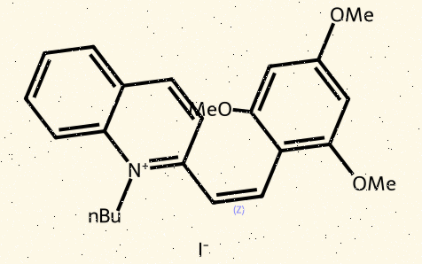 CCCC[n+]1c(/C=C\c2c(OC)cc(OC)cc2OC)ccc2ccccc21.[I-]